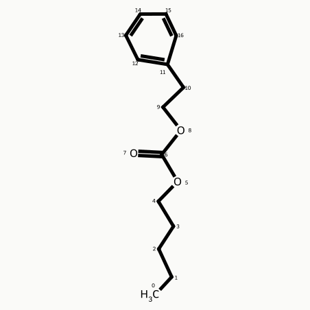 CCCCCOC(=O)OCCc1ccccc1